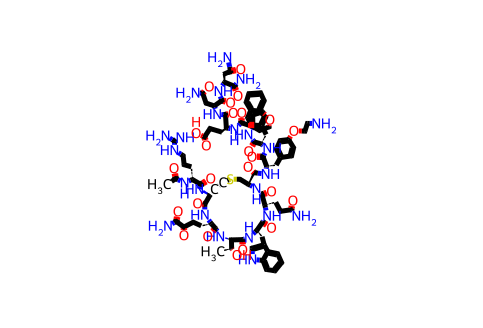 CC(=O)N[C@H](CCCNC(=N)N)C(=O)N[C@H]1CCSC[C@@H](C(=O)N[C@@H](Cc2ccc(OCCN)cc2)C(=O)N[C@@H](Cc2ccc3ccccc3c2)C(=O)NC2(C(=O)N[C@@H](CCC(=O)O)C(=O)NC(CC(N)=O)C(=O)N[C@@H](CC(N)=O)C(N)=O)CCOCC2)NC(=O)[C@H](CCC(N)=O)NC(=O)[C@H](Cc2c[nH]c3ccccc23)NC(=O)[C@H]([C@@H](C)O)NC(=O)[C@H](CCC(=O)C(N)=O)NC1=O